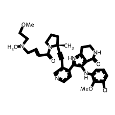 COCCN(C)C/C=C/C(=O)N1CCC[C@]1(C)C#Cc1cnccc1-c1[nH]c2c(c1Nc1cccc(Cl)c1OC)C(=O)NCC2